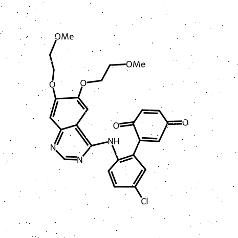 COCCOc1cc2ncnc(Nc3ccc(Cl)cc3C3=CC(=O)C=CC3=O)c2cc1OCCOC